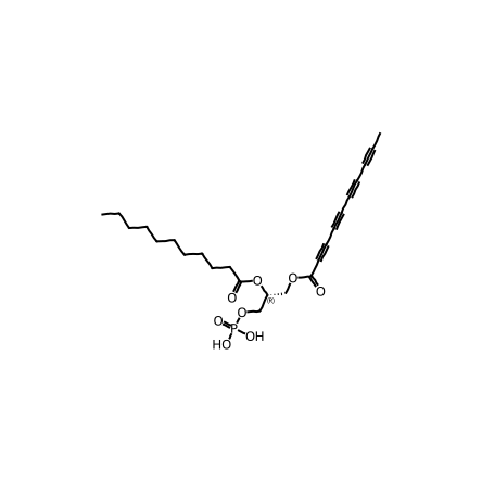 CC#CC#CC#CC#CC(=O)OC[C@H](COP(=O)(O)O)OC(=O)CCCCCCCCCC